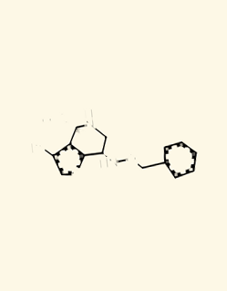 O=C(O)[C@@H]1NC[C@@H](NOCc2ccccc2)c2scc(Br)c21